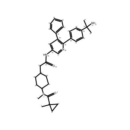 CN(C(=O)C1(C)CC1)C1CCC(CC(=O)Nc2cnc(-c3ccc(C(C)(C)N)cc3)c(-c3ccccc3)c2)CC1